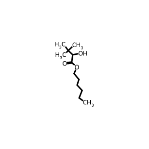 CCCCCCOC(=O)C(O)C(C)(C)C